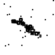 Cc1cc(C(F)(F)F)nc(C)c1S(=O)(=O)N1CC2(CN(C(=O)OC(C)(C)C)C2)C1